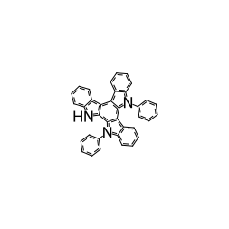 c1ccc(-n2c3ccccc3c3c2c2[nH]c4ccccc4c2c2c4ccccc4n(-c4ccccc4)c23)cc1